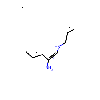 CCCN/C=C(/N)CCC